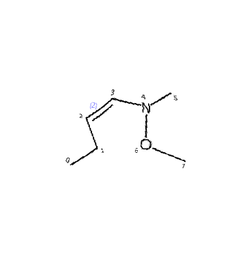 CC/C=C\N(C)OC